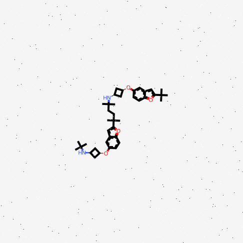 CC(C)(C)N[C@H]1C[C@H](Oc2ccc3oc(C(C)(C)CCC(C)(C)N[C@H]4C[C@@H](Oc5ccc6oc(C(C)(C)C)cc6c5)C4)cc3c2)C1